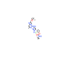 Cc1cc2nc(COC(F)(F)F)cn2c(Nc2cc([C@@H]3CC[C@H](OC(=O)NC4(C)CC4)[C@@H]3F)[nH]n2)n1